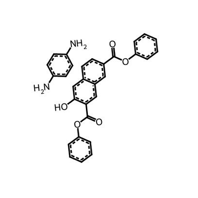 Nc1ccc(N)cc1.O=C(Oc1ccccc1)c1ccc2cc(O)c(C(=O)Oc3ccccc3)cc2c1